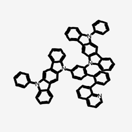 c1ccc(-n2c3ccccc3c3cc4c(cc32)c2ccccc2n4-c2ccc(-c3ccccc3-c3cccc4cccnc34)c(-n3c4ccccc4c4cc5c(cc43)c3ccccc3n5-c3ccccc3)c2)cc1